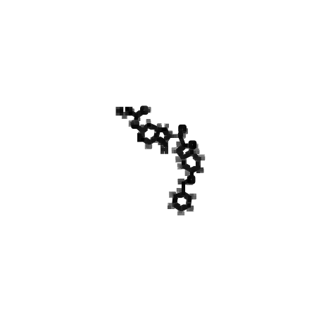 NC(=O)Oc1cc2cc(C(=O)c3cc4cc(OCc5ccccc5)ccc4o3)[nH]c2cn1